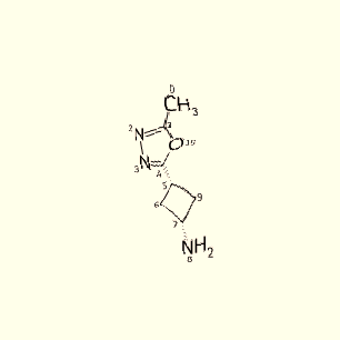 Cc1nnc([C@H]2C[C@@H](N)C2)o1